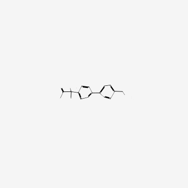 CCc1ccc(-c2ccc(C(C)(C)C(=O)O)cc2)cc1